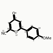 COc1ccc(-c2cc(=O)cc(C#N)o2)cc1